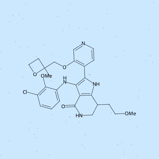 COCCC1CNC(=O)c2c1[nH]c(-c1ccncc1OCC1(C)CCO1)c2Nc1cccc(Cl)c1OC